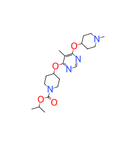 Cc1c(OC2CCN(C)CC2)ncnc1OC1CCN(C(=O)OC(C)C)CC1